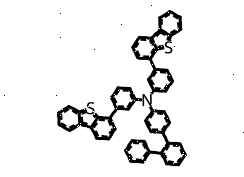 c1ccc(-c2ccccc2-c2ccc(N(c3cccc(-c4cccc5c4sc4ccccc45)c3)c3cccc(-c4cccc5c4sc4ccccc45)c3)cc2)cc1